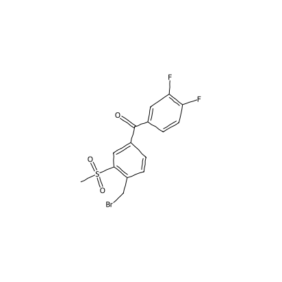 CS(=O)(=O)c1cc(C(=O)c2ccc(F)c(F)c2)ccc1CBr